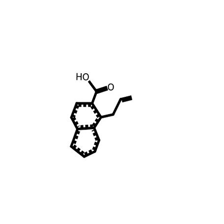 C=CCc1c(C(=O)O)ccc2ccccc12